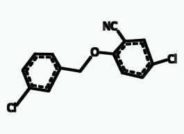 N#Cc1cc(Cl)ccc1OCc1cccc(Cl)c1